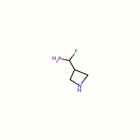 FC(P)C1CNC1